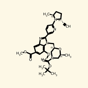 C#C[C@H]1CC[C@H](C)N1c1ccc(-c2nc3cc(C(=O)OC)cc(OC)c3n2C[C@@H]2CN(C(=O)OC(C)(C)C)C[C@H](C)O2)cn1